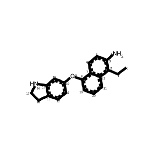 CCc1c(N)ccc2c(Oc3ccc4c(c3)NCC4)cccc12